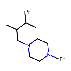 CC(C)C(C)C(C)CN1CCN(C(C)C)CC1